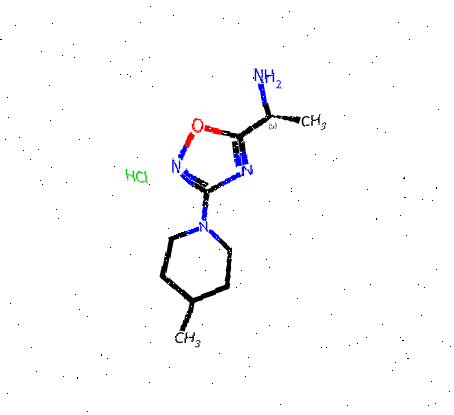 CC1CCN(c2noc([C@H](C)N)n2)CC1.Cl